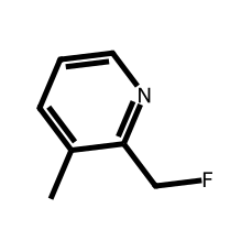 Cc1cccnc1CF